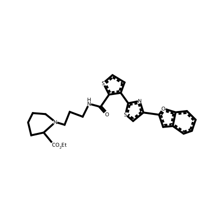 CCOC(=O)C1CCCCN1CCCNC(=O)c1sccc1-c1nc(-c2cc3ccccc3o2)cs1